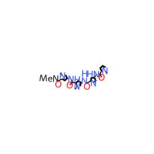 CNC(=O)c1cc(NC(=O)c2cc(NC(=O)c3cc(NC(=O)c4cccn4C)cn3C)cn2C)cn1C